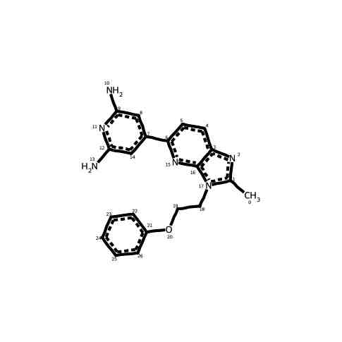 Cc1nc2ccc(-c3cc(N)nc(N)c3)nc2n1CCOc1ccccc1